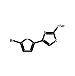 CNc1nc(-c2ccc(Br)s2)cs1